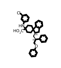 O=C(O)C1(Nc2cccc(Cl)c2)CCC2(CC1)c1ccccc1C[C@H]2C[C@H](COc1ccccc1)c1ccccc1